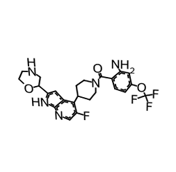 Nc1cc(OC(F)(F)F)ccc1C(=O)N1CCC(c2c(F)cnc3[nH]c(C4CNCCO4)cc23)CC1